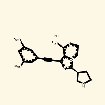 COc1cc(C#Cc2nc([C@H]3CCNC3)n3ccnc(N)c23)cc(OC)c1.Cl